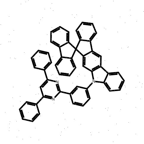 c1ccc(-c2cc(-c3ccccc3)nc(-c3cccc(-n4c5ccccc5c5cc6c(cc54)C4(c5ccccc5-c5ccccc54)c4ccccc4-6)c3)n2)cc1